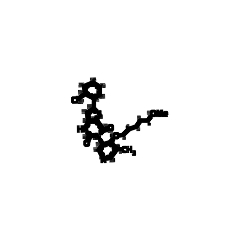 COCCCCCOc1c(C)cncc1-n1c(=O)[nH]c2cc(-c3ccccc3Cl)sc2c1=O